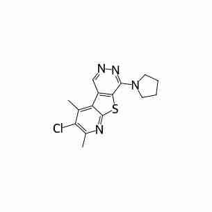 Cc1nc2sc3c(N4CCCC4)nncc3c2c(C)c1Cl